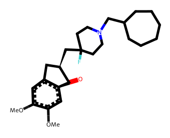 COc1cc2c(cc1OC)C(=O)[C@H](CC1(F)CCN(CC3CCCCCC3)CC1)C2